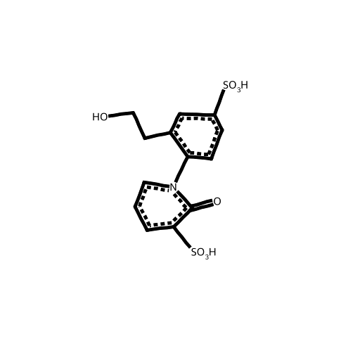 O=c1c(S(=O)(=O)O)cccn1-c1ccc(S(=O)(=O)O)cc1CCO